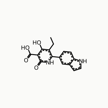 CCc1c(-c2ccc3[nH]ccc3c2)[nH]c(=O)c(C(=O)O)c1O